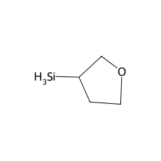 [SiH3]C1CCOC1